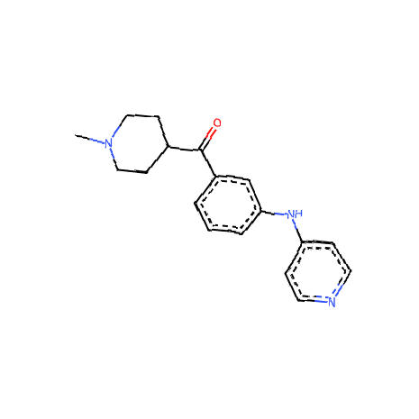 CN1CCC(C(=O)c2cccc(Nc3ccncc3)c2)CC1